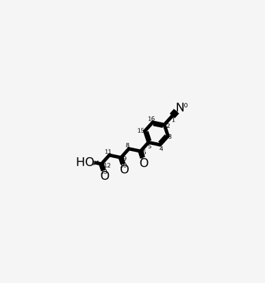 N#Cc1ccc(C(=O)CC(=O)CC(=O)O)cc1